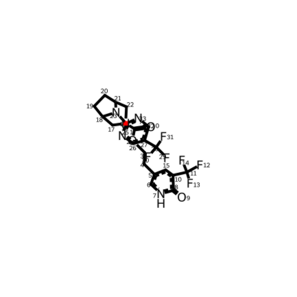 O=C(OCCc1c[nH]c(=O)c(C(F)(F)F)c1)N1CC2CCC(C1)N2c1ncc(C(F)(F)F)cn1